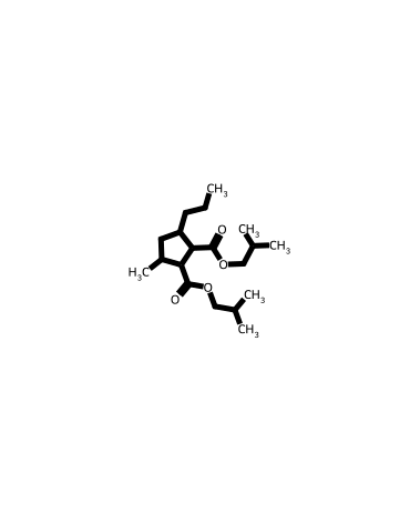 CCCC1CC(C)C(C(=O)OCC(C)C)C1C(=O)OCC(C)C